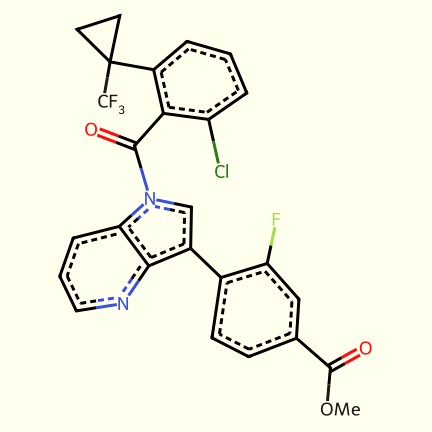 COC(=O)c1ccc(-c2cn(C(=O)c3c(Cl)cccc3C3(C(F)(F)F)CC3)c3cccnc23)c(F)c1